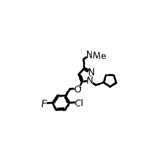 CNCc1cc(OCc2cc(F)ccc2Cl)n(CC2CCCC2)n1